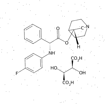 O=C(O)[C@@H](O)[C@H](O)C(=O)O.O=C(O[C@H]1CN2CCC1CC2)[C@H](Nc1ccc(F)cc1)c1ccccc1